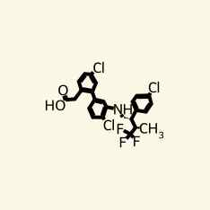 C[C@H]([C@H](CNc1cc(-c2cc(Cl)ccc2CC(=O)O)ccc1Cl)c1ccc(Cl)cc1)C(F)(F)F